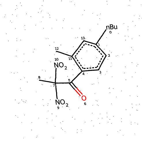 CCCCc1ccc(C(=O)C(C)([N+](=O)[O-])[N+](=O)[O-])c(C)c1